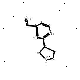 C=Cc1ccnc(C2CCNC2)n1